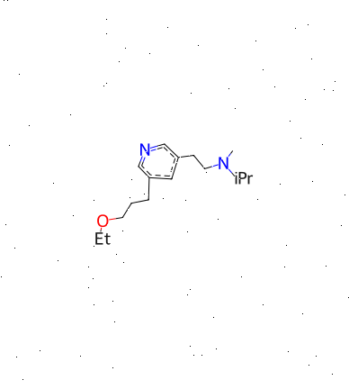 CCOCCCc1cncc(CCN(C)C(C)C)c1